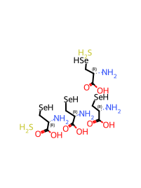 N[C@@H](C[SeH])C(=O)O.N[C@@H](C[SeH])C(=O)O.N[C@@H](C[SeH])C(=O)O.N[C@@H](C[SeH])C(=O)O.S.S